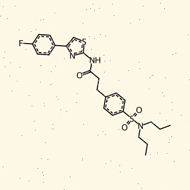 CCCN(CCC)S(=O)(=O)c1ccc(CCC(=O)Nc2nc(-c3ccc(F)cc3)cs2)cc1